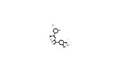 [CH2]c1n[nH]c(=O)c2ccc(-c3cnn(C)c3C=C(C#N)c3cc(F)cc(OC)c3)cc12